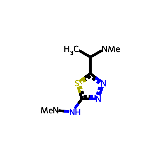 CNNc1nnc(C(C)NC)s1